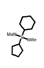 CN[Si](NC)(C1CCCCC1)C1CCCC1